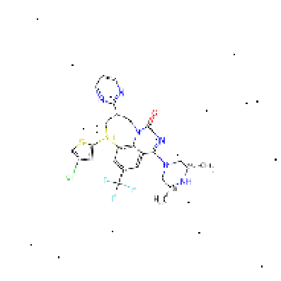 C[C@@H]1CN(c2nc(=O)n3c4c(cc(C(F)(F)F)cc24)[SH](c2cc(Cl)cs2)CC(c2ncccn2)C3)C[C@H](C)N1